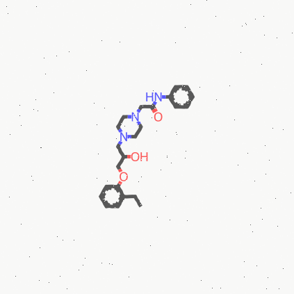 CCc1ccccc1OCC(O)CN1CCN(CC(=O)Nc2ccccc2)CC1